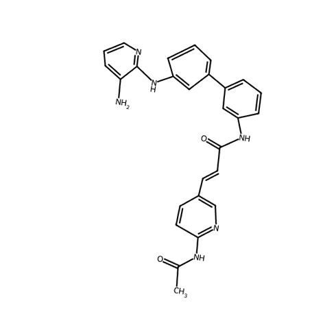 CC(=O)Nc1ccc(/C=C/C(=O)Nc2cccc(-c3cccc(Nc4ncccc4N)c3)c2)cn1